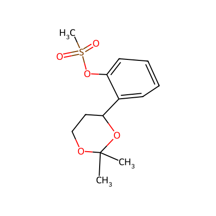 CC1(C)OCCC(c2ccccc2OS(C)(=O)=O)O1